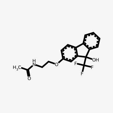 CC(=O)NCCOc1ccc2c(c1)C(O)(C(F)(F)F)c1ccccc1-2